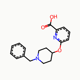 O=C(O)c1cccc(OC2CCN(Cc3ccccc3)CC2)n1